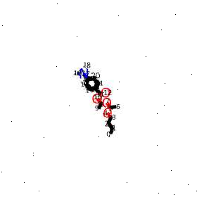 CCCCOC(C)OC(C)OC(=O)c1ccc(N(C)C)cc1